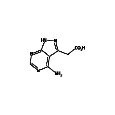 Nc1ncnc2[nH]nc(CC(=O)O)c12